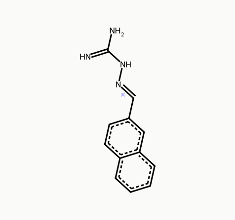 N=C(N)N/N=C/c1ccc2ccccc2c1